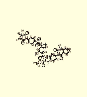 CC(C)OC(=O)[C@H](Cc1ccc(-n2c(=O)c3ccncc3n(C)c2=O)nc1)NC(=O)c1cc(F)c(NS(=O)(=O)c2ccc(N3C(=O)N(C)C(C)(C)C3=O)cc2)cc1F